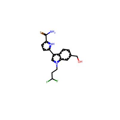 NC(=S)c1ccc(-c2cn(CCC(F)F)c3cc(CO)ccc23)[nH]1